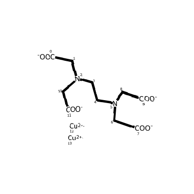 O=C([O-])CN(CCN(CC(=O)[O-])CC(=O)[O-])CC(=O)[O-].[Cu+2].[Cu+2]